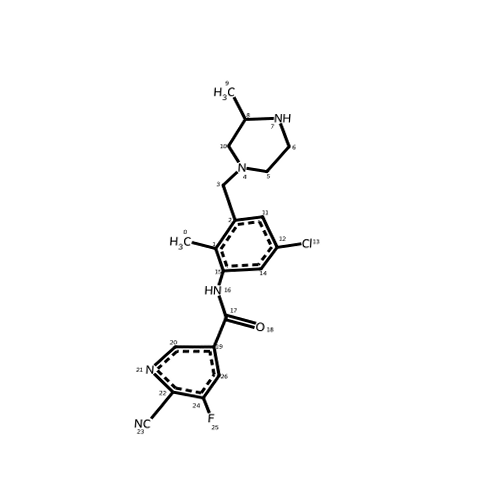 Cc1c(CN2CCNC(C)C2)cc(Cl)cc1NC(=O)c1cnc(C#N)c(F)c1